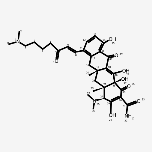 CN(C)CCCCC(=O)/C=C/c1ccc(O)c2c1C[C@@]1(C)C[C@@]3(C)[C@H](N(C)C)C(O)=C(C(N)=O)C(=O)[C@@]3(O)C(O)=C1C2=O